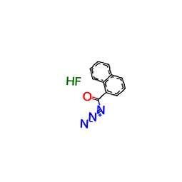 F.[N-]=[N+]=NC(=O)c1cccc2ccccc12